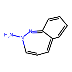 NN1C=CC=c2ccccc2=N1